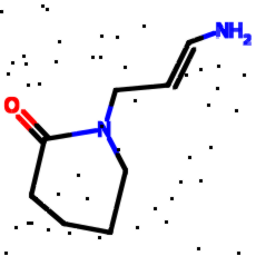 NC=CCN1CCCCC1=O